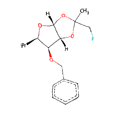 CC(C)[C@H]1O[C@@H]2OC(C)(CF)O[C@@H]2[C@H]1OCc1ccccc1